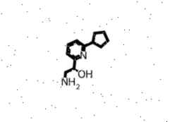 NC[C@H](O)c1cccc(C2CCCC2)n1